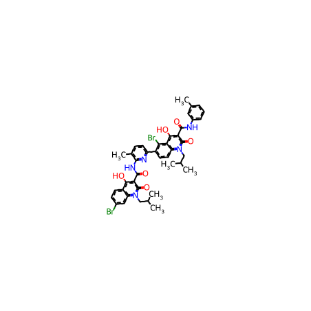 Cc1cccc(NC(=O)c2c(O)c3c(Br)c(-c4ccc(C)c(NC(=O)c5c(O)c6ccc(Br)cc6n(CC(C)C)c5=O)n4)ccc3n(CC(C)C)c2=O)c1